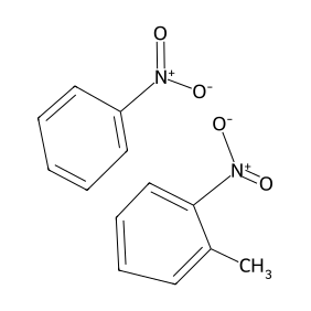 Cc1ccccc1[N+](=O)[O-].O=[N+]([O-])c1ccccc1